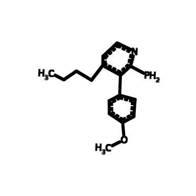 CCCCc1ccnc(P)c1-c1ccc(OC)cc1